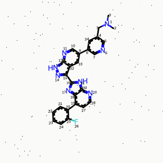 CN(C)Cc1cncc(-c2cnc3[nH]nc(-c4nc5c(-c6ccccc6F)ccnc5[nH]4)c3c2)c1